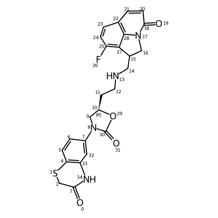 O=C1CSc2ccc(N3C[C@@H](CCNCC4Cn5c(=O)ccc6ccc(F)c4c65)OC3=O)cc2N1